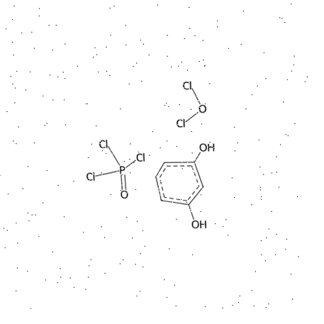 ClOCl.O=P(Cl)(Cl)Cl.Oc1cccc(O)c1